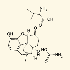 CC(C)C(N)C(=O)O.CN1CC[C@]23c4c5ccc(O)c4O[C@H]2C(=O)CC[C@@]3(O)[C@H]1C5.NC(=O)O